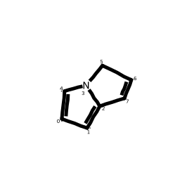 [c]1[c]c2n([c]1)CC=C2